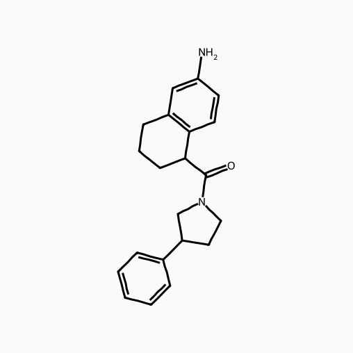 Nc1ccc2c(c1)CCCC2C(=O)N1CCC(c2ccccc2)C1